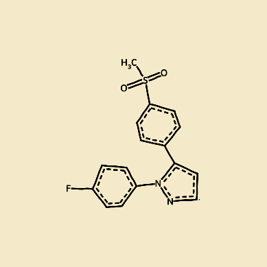 CS(=O)(=O)c1ccc(-c2c[c]nn2-c2ccc(F)cc2)cc1